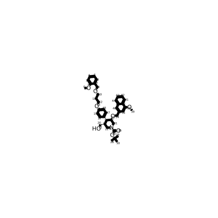 COc1ccccc1COCCCOc1ccc([C@H]2[C@@H](CO)CN(C(=O)OC(C)(C)C)C[C@@H]2OCc2cc(OC)c3ccccc3c2)cc1